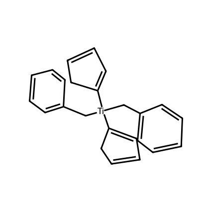 C1=CC[C]([Ti]([CH2]c2ccccc2)([CH2]c2ccccc2)[C]2=CC=CC2)=C1